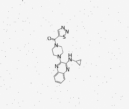 O=C(c1cnns1)N1CCN(c2nc3ccccc3nc2NC2CC2)CC1